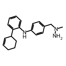 CN(N)Cc1ccc(Nc2ccccc2C2C=CCCC2)cc1